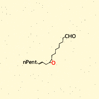 CCCCCC=CCC1OC1CCCCCCCC=O